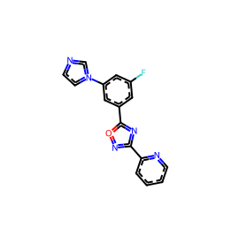 Fc1cc(-c2nc(-c3ccccn3)no2)cc(-n2ccnc2)c1